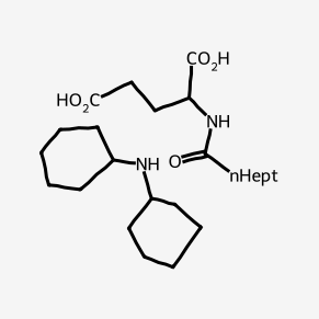 C1CCC(NC2CCCCC2)CC1.CCCCCCCC(=O)NC(CCC(=O)O)C(=O)O